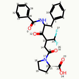 O=C(NC(Cc1ccccc1)C(=O)C(CC(=O)N1CCC[C@H]1C(=O)O)C(F)F)c1ccccc1